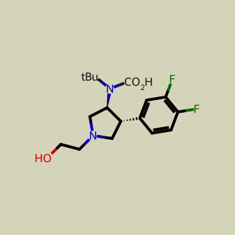 CC(C)(C)N(C(=O)O)[C@@H]1CN(CCO)C[C@H]1c1ccc(F)c(F)c1